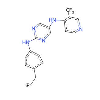 CC(C)Cc1ccc(Nc2ncc(Nc3ccncc3C(F)(F)F)cn2)cc1